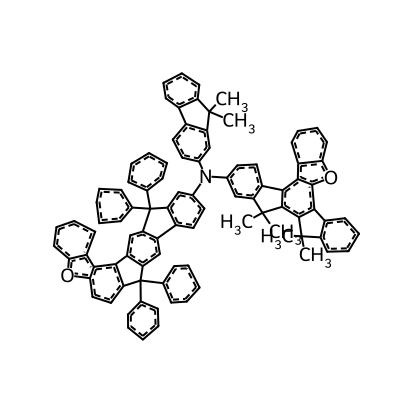 CC1(C)c2ccccc2-c2ccc(N(c3ccc4c(c3)C(C)(C)c3c5c(c6oc7ccccc7c6c3-4)-c3ccccc3C5(C)C)c3ccc4c(c3)C(c3ccccc3)(c3ccccc3)c3cc5c(cc3-4)C(c3ccccc3)(c3ccccc3)c3ccc4oc6ccccc6c4c3-5)cc21